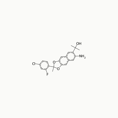 CC(C)(O)c1cc2cc3c(cc2cc1N)OC(C)(c1ccc(Cl)cc1F)O3